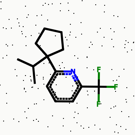 CC(C)C1(c2cccc(C(F)(F)F)n2)CCCC1